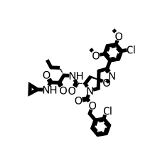 CCC[C@H](NC(=O)[C@@H]1C[C@]2(CC(c3cc(Cl)c(OC)cc3OC)=NO2)CN1C(=O)OCc1ccccc1Cl)C(=O)C(=O)NC1CC1